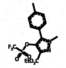 CCOC(=O)c1nn(C)c(-c2ccc(C)cc2)c1OS(=O)(=O)C(F)(F)F